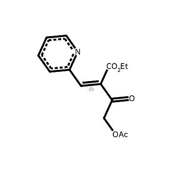 CCOC(=O)/C(=C\c1ccccn1)C(=O)COC(C)=O